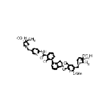 COc1nc(O[C@H]2CCc3c(-c4cccc(C(=O)Nc5ccc(CN6CC[C@@](C)(C(=O)O)C6)cn5)c4Cl)cccc32)c(Cl)cc1CN1CC[C@@](C)(C(=O)O)C1